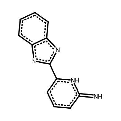 N=c1cccc(-c2nc3ccccc3s2)[nH]1